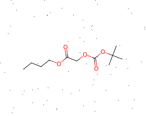 CCCCOC(=O)COC(=O)OC(C)(C)C